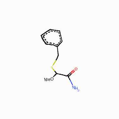 COC(SCc1ccccc1)C(N)=O